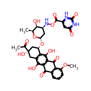 COc1cccc2c1C(=O)c1c(O)c3c(c(O)c1C2=O)C[C@@](O)(C(C)=O)C[C@@H]3O[C@H]1C[C@H](NOC(=O)c2cc(=O)[nH]c(=O)[nH]2)[C@H](O)[C@H](C)O1